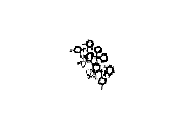 Cc1ccc(N(c2c(C)cccc2C)c2cc3c(c4oc(C)nc24)-c2c(cc(N(c4ccc(C)cc4)c4c(C)cccc4C)c4nc(C)oc24)C3(c2ccccc2)c2ccccc2)cc1